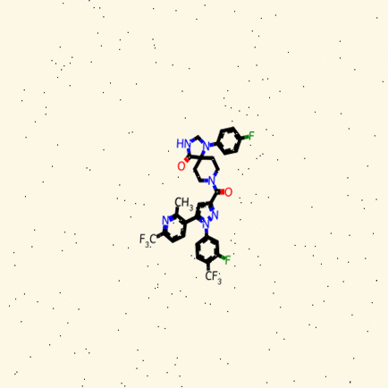 Cc1nc(C(F)(F)F)ccc1-c1cc(C(=O)N2CCC3(CC2)C(=O)NCN3c2ccc(F)cc2)nn1-c1ccc(C(F)(F)F)c(F)c1